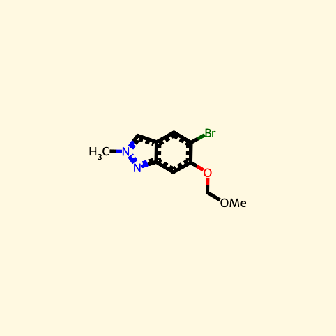 COCOc1cc2nn(C)cc2cc1Br